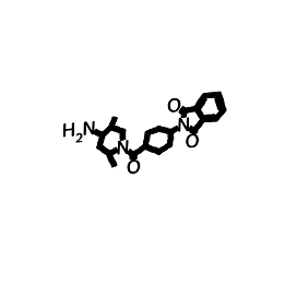 CC1CN(C(=O)C2CCC(N3C(=O)c4ccccc4C3=O)CC2)C(C)CC1N